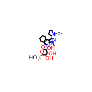 CCCN1CCC[C@H]1c1nn(C)c2nc(O[C@@H]3O[C@H](C(=O)O)[C@H](O)[C@H](O)[C@H]3O)c3c(c12)CCCC3